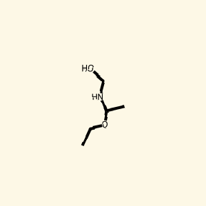 CCOC(C)NCO